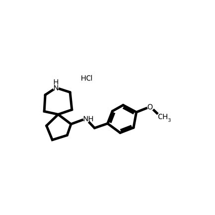 COc1ccc(CNC2CCCC23CCNCC3)cc1.Cl